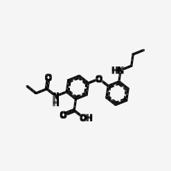 CCCNc1ccccc1Oc1ccc(NC(=O)CC)c(C(=O)O)c1